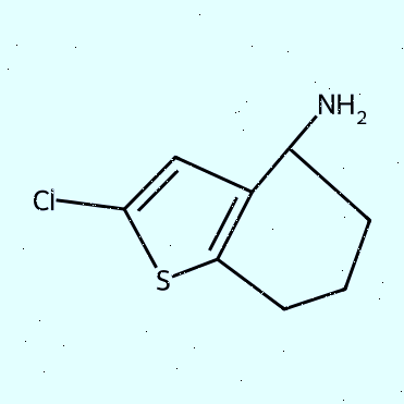 NC1CCCc2sc(Cl)cc21